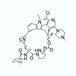 CCn1c(-c2cc(N3CCN(C)CC3)cnc2[C@H](C)OC)c2c3cc(ccc31)C1CSC(=N1)C[C@H](NC(=O)[C@H]1[C@H](C)[C@@H]1C)C(=O)N1CCC[C@H](N1)C(=O)OCC(F)(F)C2